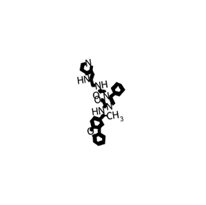 C[C@H](Nc1ncc(-c2ccccc2)n(CC(=O)NCc2cc3cnccc3[nH]2)c1=O)c1ccc2oc3ccccc3c2c1